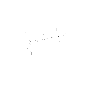 [O]C(F)(F)C(F)(F)C(F)(F)C(F)(F)C(F)=C(F)F